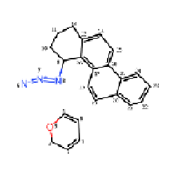 C1=CCOC=C1.[N-]=[N+]=NC1CCCc2ccc3c(ccc4ccccc43)c21